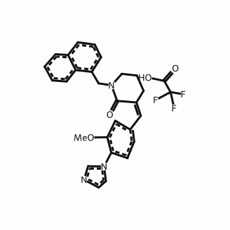 COc1cc(C=C2CCCN(Cc3cccc4ccccc34)C2=O)ccc1-n1ccnc1.O=C(O)C(F)(F)F